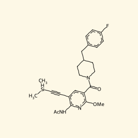 COc1nc(NC(C)=O)c(C#C[SiH](C)C)cc1C(=O)N1CCC(Cc2ccc(F)cc2)CC1